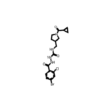 O=C(NCC1CCN(C(=O)C2CC2)C1)NNC(=O)c1ccc(Br)cc1Cl